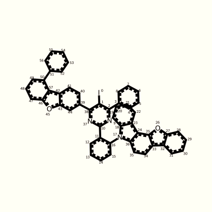 Ic1c(-c2ccccc2)nc(-c2ccccc2-n2c3ccccc3c3c4oc5ccccc5c4ccc32)nc1-c1ccc2c(c1)oc1cccc(-c3ccccc3)c12